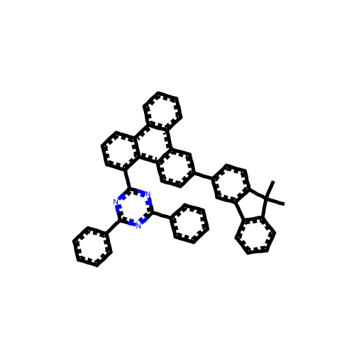 CC1(C)c2ccccc2-c2cc(-c3ccc4c(c3)c3ccccc3c3cccc(-c5nc(-c6ccccc6)nc(-c6ccccc6)n5)c34)ccc21